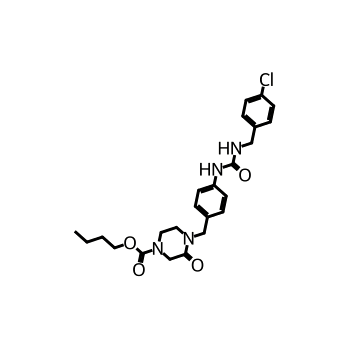 CCCCOC(=O)N1CCN(Cc2ccc(NC(=O)NCc3ccc(Cl)cc3)cc2)C(=O)C1